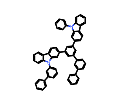 c1ccc(-c2cccc(-c3cc(-c4ccc5c6ccccc6n(-c6ccccc6)c5c4)cc(-c4ccc5c6ccccc6n(-c6cccc(-c7ccccc7)c6)c5c4)c3)c2)cc1